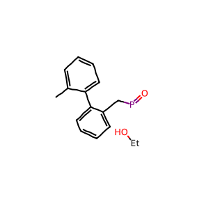 CCO.Cc1ccccc1-c1ccccc1CP=O